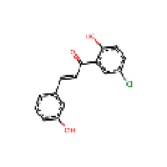 O=C(C=Cc1cccc(O)c1)c1cc(Cl)ccc1O